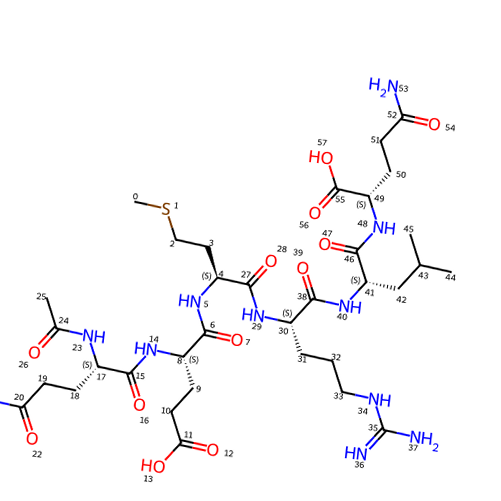 CSCC[C@H](NC(=O)[C@H](CCC(=O)O)NC(=O)[C@H](CCC(N)=O)NC(C)=O)C(=O)N[C@@H](CCCNC(=N)N)C(=O)N[C@@H](CC(C)C)C(=O)N[C@@H](CCC(N)=O)C(=O)O